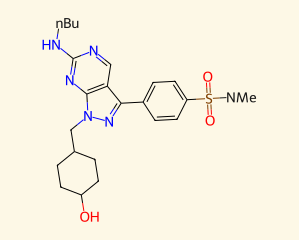 CCCCNc1ncc2c(-c3ccc(S(=O)(=O)NC)cc3)nn(CC3CCC(O)CC3)c2n1